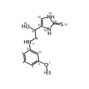 CCOc1cccc(NCC(O)c2c[nH]c(=S)[nH]2)c1